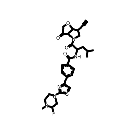 C#CC1CN(C(=O)C(CC(C)C)NC(=O)c2ccc(-c3csc(N4CCN(C)C(F)C4)n3)cc2)C2C(=O)COC12